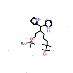 CC(C)(CCCC(CCO[Si](C)(C)C(C)(C)C)C(c1ccc[nH]1)c1ccc[nH]1)[Si](C)(C)O